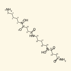 NCCCCCN(O)C(=O)CCC(=O)NCCCCCN(O)C(=O)CCC(N)=O